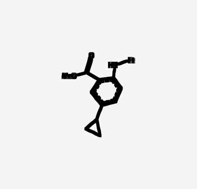 CCNc1ccc(C2CC2)cc1C(=O)OC